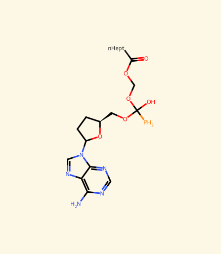 CCCCCCCC(=O)OCOC(O)(P)OC[C@@H]1CCC(n2cnc3c(N)ncnc32)O1